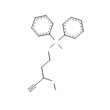 C#CC(CCO[Si](c1ccccc1)(c1ccccc1)C(C)(C)C)NC(=O)O